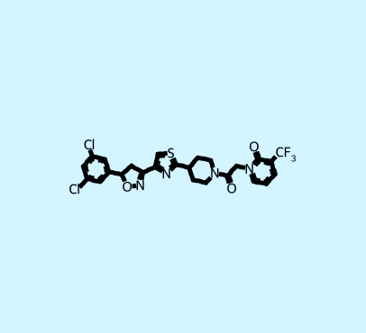 O=C(Cn1cccc(C(F)(F)F)c1=O)N1CCC(c2nc(C3=NOC(c4cc(Cl)cc(Cl)c4)C3)cs2)CC1